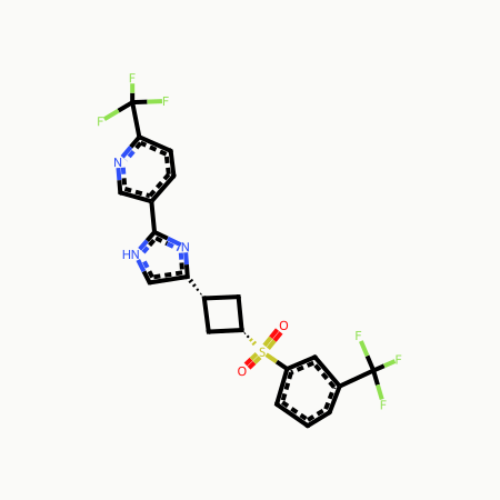 O=S(=O)(c1cccc(C(F)(F)F)c1)[C@H]1C[C@@H](c2c[nH]c(-c3ccc(C(F)(F)F)nc3)n2)C1